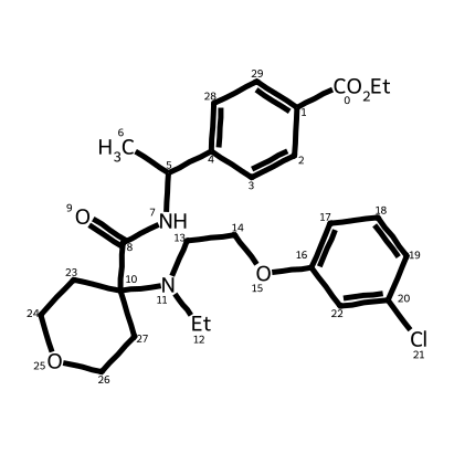 CCOC(=O)c1ccc(C(C)NC(=O)C2(N(CC)CCOc3cccc(Cl)c3)CCOCC2)cc1